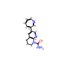 NC(=O)N1CCCc2cc(C3=CC=C=CN=C3)cnc21